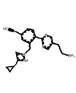 C#Cc1ccc(-c2ncc(CCN)cn2)c(Cn2cc(C3CC3)[nH]2)c1